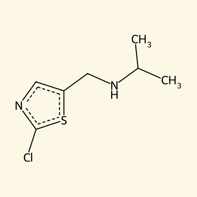 CC(C)NCc1cnc(Cl)s1